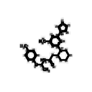 Cc1ccc(OC(C)NC(=O)CC2CCCCN2c2cc(C)nc(-n3ccnc3)n2)cc1